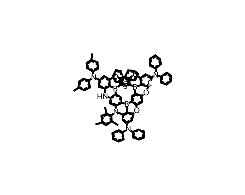 Cc1ccc(N(c2ccc(C)cc2)c2cc3c4c(c2)Oc2c(sc5ccccc25)B4c2cc4c(cc2N3)N(c2c(C)cc(C)cc2C)c2cc(N(c3ccccc3)c3ccccc3)cc3c2B4c2cc4c(cc2O3)Oc2cc(N(c3ccccc3)c3ccccc3)cc3c2B4c2sc4ccccc4c2O3)cc1